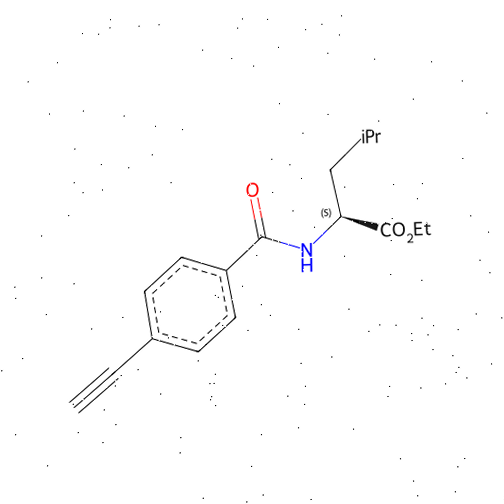 C#Cc1ccc(C(=O)N[C@@H](CC(C)C)C(=O)OCC)cc1